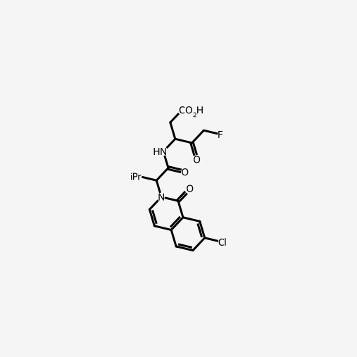 CC(C)C(C(=O)NC(CC(=O)O)C(=O)CF)n1ccc2ccc(Cl)cc2c1=O